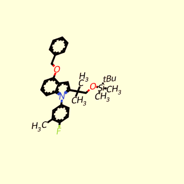 Cc1cc(-n2c(C(C)(C)CO[Si](C)(C)C(C)(C)C)cc3c(OCc4ccccc4)cccc32)ccc1F